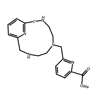 COC(=O)c1cccc(CN2CCNCc3cccc(n3)CNCC2)n1